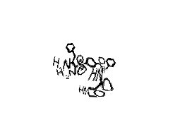 NC(Cc1ccccc1)C(N)S(=O)(=O)c1ccc(C(=O)[C@H](Cc2ccccc2)NC(=O)C2CNCCO2)cc1